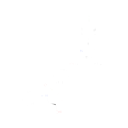 Cc1oc(-c2ccc(F)cc2)nc1COc1ccc(S(=O)(=O)N2c3ccccc3C[C@@H]2C(=O)O)cc1